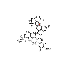 COc1c(F)cc2c(=O)n(-c3ccc(Cl)c4c(NS(C)(=O)=O)nn(C)c34)c([C@H](Cc3cc(F)cc(F)c3)NC(=O)Cn3nc(C(F)F)c4c3C(F)(F)[C@@H]3C[C@H]43)nc2c1F